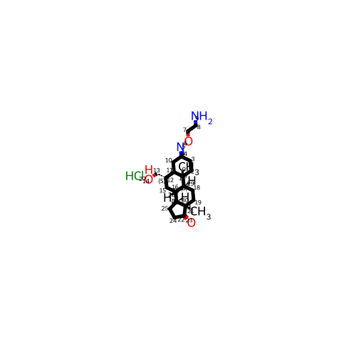 C[C@]12CCC(=NOCCN)CC1[C@@H](CO)C[C@@H]1[C@@H]2CC[C@]2(C)C(=O)CC[C@@H]12.Cl